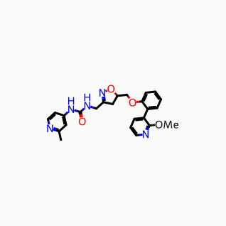 COc1ncccc1-c1ccccc1OCC1CC(CNC(=O)Nc2ccnc(C)c2)=NO1